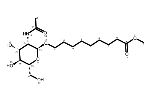 COC(=O)CCCCCCCCO[C@H]1O[C@H](CO)[C@@H](O)[C@H](O)[C@@H]1NC(C)=O